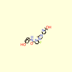 C[C@@H]1CN(c2ccc(C(C)(C)O)nc2)CCN1c1nc(C(=O)NC2C3CC4CC2CC(O)(C4)C3)ccc1F